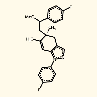 COC(C[C@@]1(C)Cc2cnn(-c3ccc(F)cc3)c2C=C1C)c1ccc(F)cc1